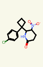 O=C1CCC([N+](=O)[O-])C(C2(c3ccc(Cl)cc3)CCC2)N1